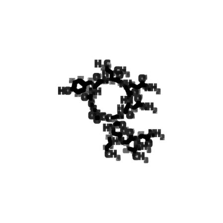 CCCC[C@H](NC(=O)[C@@H]1CCS(=O)(=O)CCC(=O)N[C@@H](Cc2ccc(O)cc2)C(=O)N[C@@H]([C@@H](C)CC)C(=O)N[C@@H](CCC(N)=O)C(=O)N[C@@H](CC(N)=O)C(=O)N1)C(=O)N[C@@H](CC(C)C)C(=O)NCC(N)=O